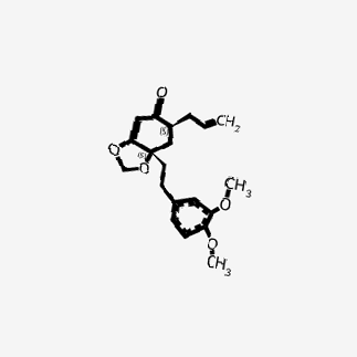 C=CC[C@H]1C[C@]2(CCc3ccc(OC)c(OC)c3)OCOC2=CC1=O